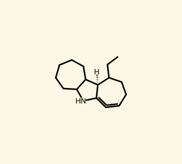 CCC1CCC=C=C2NC3CCCCCC3[C@H]21